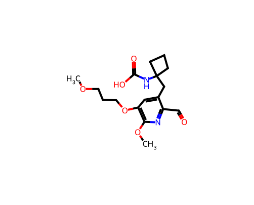 COCCCOc1cc(CC2(NC(=O)O)CCC2)c(C=O)nc1OC